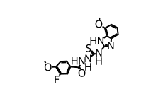 COc1ccc(C(=O)NNC(=S)Nc2nc3cccc(OC)c3[nH]2)cc1F